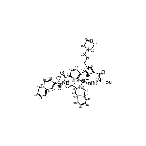 CCCCN(CCCC)C(=O)c1cn(CCCN2CCOCC2)c(-c2ccc(C(=O)NS(=O)(=O)c3ccc4ccccc4c3)cc2C(=O)N2Cc3ccccc3CC2CO)n1